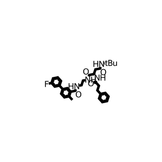 Cc1ccc(-c2cccc(F)c2)cc1C(=O)NCCNC(=O)C(CC(=O)NC(C)(C)C)NC(=O)CCc1ccccc1